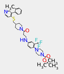 Cc1ccccc1-c1cnccc1SCC1CCN(C(=O)CCNc2ccc(N3CCN(C(=O)OC(C)(C)C)CC3)c(C(F)(F)F)c2)CC1